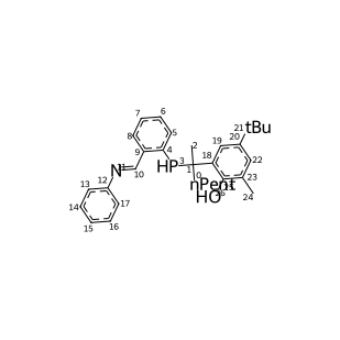 CCCCCC(C)(Pc1ccccc1/C=N/c1ccccc1)c1cc(C(C)(C)C)cc(C)c1O